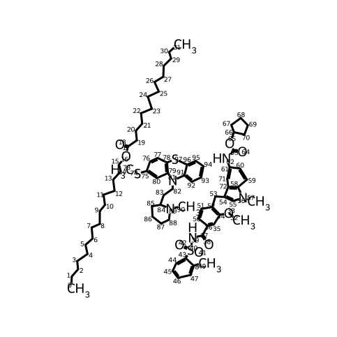 CCCCCCCCCCCCCCCCOC(=O)CCCCCCCCCCCCC.COc1cc(C(=O)NS(=O)(=O)c2ccccc2C)ccc1Cc1cn(C)c2ccc(NC(=O)OC3CCCC3)cc12.CSc1ccc2c(c1)N(CCC1CCCCN1C)c1ccccc1S2